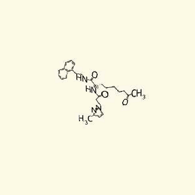 CC(=O)CCCCC[C@H](NC(=O)CCn1ccc(C)n1)C(=O)NCCc1cccc2ccccc12